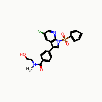 CN(CCO)C(=O)c1ccc(-c2cn(S(=O)(=O)c3ccccc3)c3ncc(Br)cc23)cc1